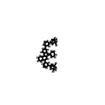 CC1(C)N=C(c2cncc(-c3ccc4c5c6ccccc6c(-c6cncc(C7=NC(C)(C)C(C)(C)S7)c6)cc5n(-c5ccccc5)c4c3)c2)SC1(C)C